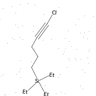 CC[Si](CC)(CC)CCCC#CCl